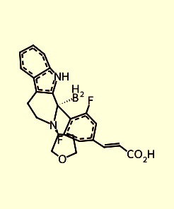 B[C@@]1(c2c(F)cc(/C=C/C(=O)O)cc2F)c2[nH]c3ccccc3c2CCN1[C@H]1CCOC1